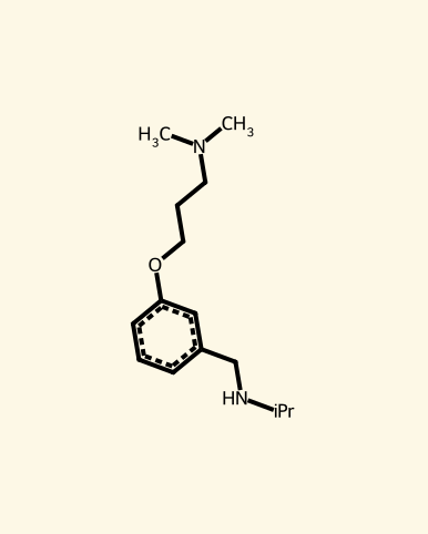 CC(C)NCc1cccc(OCCCN(C)C)c1